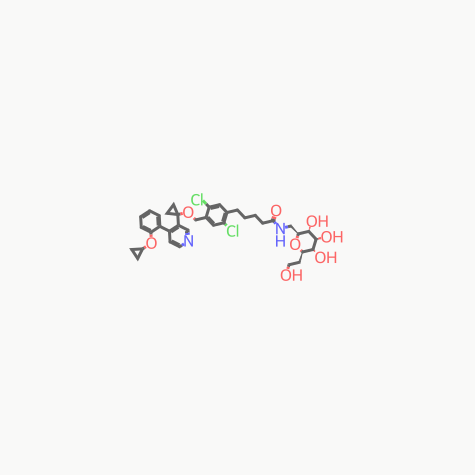 O=C(CCCCc1cc(Cl)c(COC2(c3cnccc3-c3ccccc3OC3CC3)CC2)cc1Cl)NC[C@@H]1O[C@H](CCO)[C@@H](O)[C@H](O)[C@H]1O